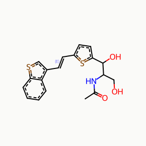 CC(=O)NC(CO)C(O)c1ccc(/C=C/c2csc3ccccc23)s1